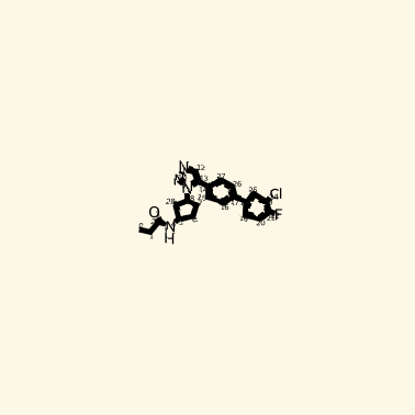 CCC(=O)NC1CCC(n2nncc2-c2ccc(-c3ccc(F)c(Cl)c3)cc2)C1